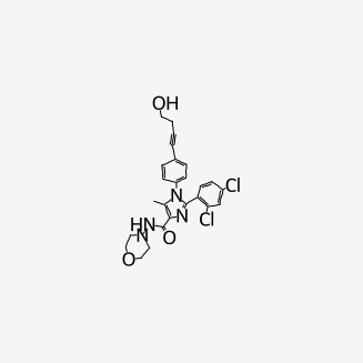 Cc1c(C(=O)NN2CCOCC2)nc(-c2ccc(Cl)cc2Cl)n1-c1ccc(C#CCCO)cc1